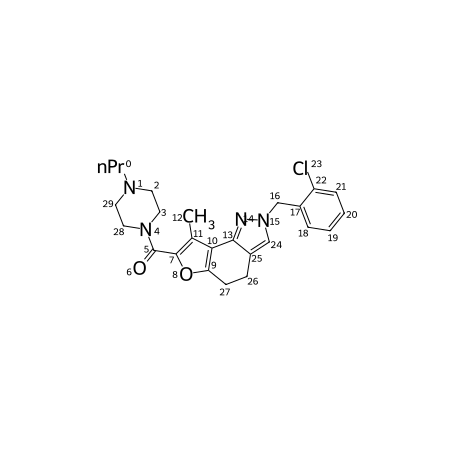 CCCN1CCN(C(=O)c2oc3c(c2C)-c2nn(Cc4ccccc4Cl)cc2CC3)CC1